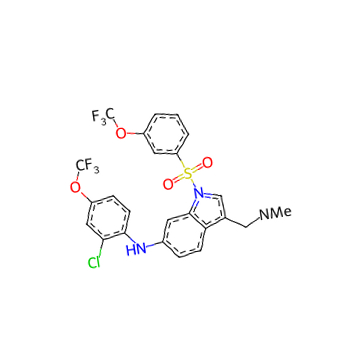 CNCc1cn(S(=O)(=O)c2cccc(OC(F)(F)F)c2)c2cc(Nc3ccc(OC(F)(F)F)cc3Cl)ccc12